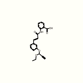 C#CC(OCC)Oc1cccc(C=CC(=O)Nc2ccccc2C(=O)O)c1